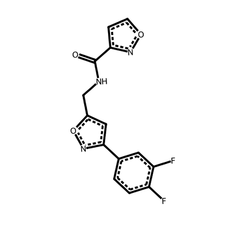 O=C(NCc1cc(-c2ccc(F)c(F)c2)no1)c1ccon1